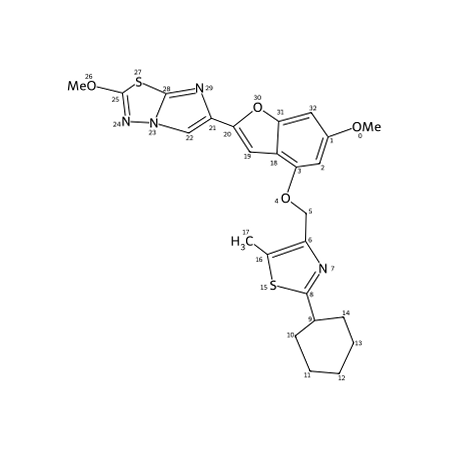 COc1cc(OCc2nc(C3CCCCC3)sc2C)c2cc(-c3cn4nc(OC)sc4n3)oc2c1